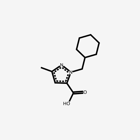 Cc1cc(C(=O)O)n(CC2CCCCC2)n1